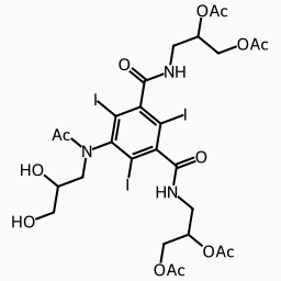 CC(=O)OCC(CNC(=O)c1c(I)c(C(=O)NCC(COC(C)=O)OC(C)=O)c(I)c(N(CC(O)CO)C(C)=O)c1I)OC(C)=O